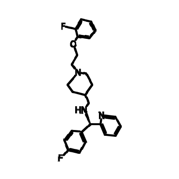 Fc1ccc([C@@H](NCC2CCN(CCOc3ccccc3F)CC2)c2ccccn2)cc1